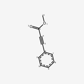 [CH2]OC(=O)C#Cc1ccccc1